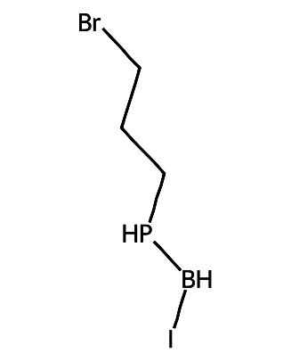 BrCCCPBI